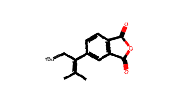 CC(C)=C(CC(C)(C)C)c1ccc2c(c1)C(=O)OC2=O